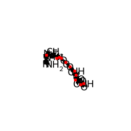 Cc1nc2ccc(-c3ccnc(N)c3)nc2n1-c1ccc(N2CCN(CCOCCOCCOCCC(=O)NC3CN(c4ccc5c(c4)C(=O)N(C4CCC(=O)NC4=O)C5=O)C3)CC2)c(F)c1